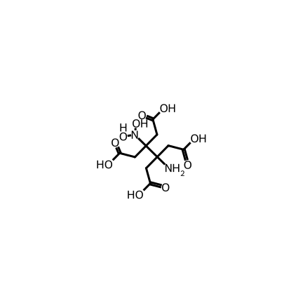 NC(CC(=O)O)(CC(=O)O)C(CC(=O)O)(CC(=O)O)N(O)O